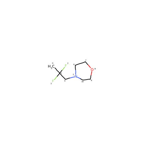 CC(F)(F)CN1CCOCC1